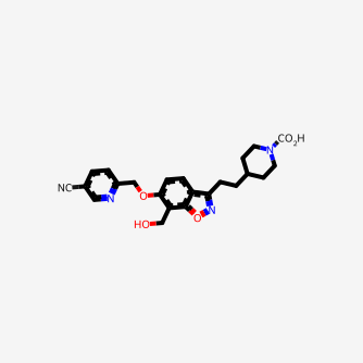 N#Cc1ccc(COc2ccc3c(CCC4CCN(C(=O)O)CC4)noc3c2CO)nc1